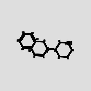 C1=CN([C@@H]2CCCNC2)Cc2ccccc21